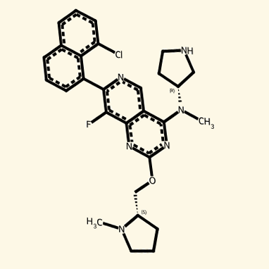 CN1CCC[C@H]1COc1nc(N(C)[C@@H]2CCNC2)c2cnc(-c3cccc4cccc(Cl)c34)c(F)c2n1